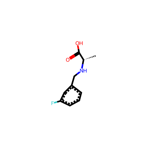 C[C@H](NCc1cccc(F)c1)C(=O)O